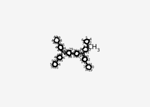 CC1(c2ccccc2)C=CC(N(c2ccc(C3=CCCC=C3)cc2)c2ccc(-c3ccc(N(c4ccc(C5=CCCCC5)cc4)c4ccc(-c5ccccc5)cc4)cc3)cc2)=CC1